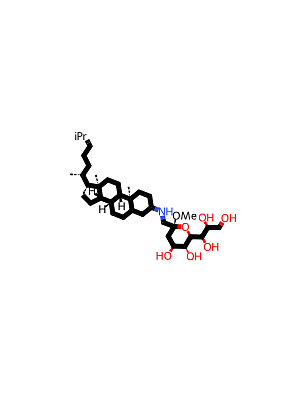 CO[C@@]1(CNC2CC[C@@]3(C)C(CC[C@H]4[C@@H]5CC[C@H]([C@H](C)CCCC(C)C)[C@@]5(C)CC[C@@H]43)C2)C[C@H](O)[C@@H](O)[C@H]([C@H](O)[C@@H](O)CO)O1